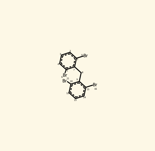 Brc1cccc(Br)c1Cc1c(Br)cccc1Br